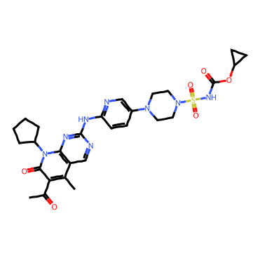 CC(=O)c1c(C)c2cnc(Nc3ccc(N4CCN(S(=O)(=O)NC(=O)OC5CC5)CC4)cn3)nc2n(C2CCCC2)c1=O